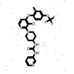 Cc1cc(OC(F)(F)F)ccc1Oc1ccnc(N2CCC(NC(=O)Nc3cccnc3)CC2)c1Cl